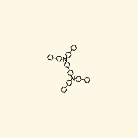 C1=CC=CC(c2ccc(N(c3ccc(-c4ccccc4)cc3)c3ccc(-c4ccc(N(c5ccc(-c6ccccc6)cc5)c5ccc(-c6ccccc6)cc5)cc4)cc3)cc2)C=1